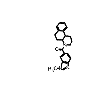 Cn1cnc2ccc(C(=O)N3CCCC4c5ccccc5CCC43)cc21